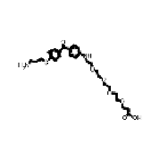 NCCCOc1ccc(C(=O)c2ccc(NCCOCCOCCOCCOCCC(=O)O)cc2)cc1